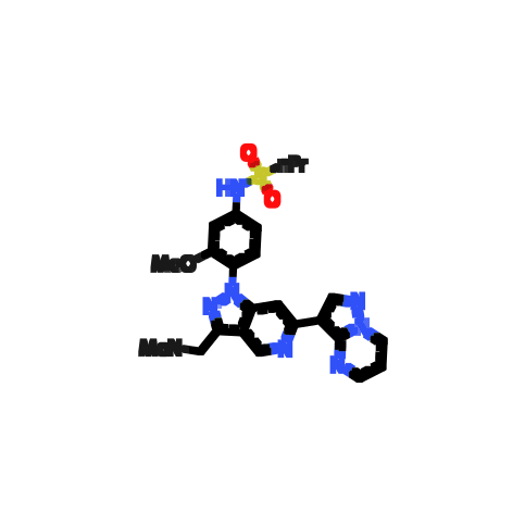 CCCS(=O)(=O)Nc1ccc(-n2nc(CNC)c3cnc(-c4cnn5cccnc45)cc32)c(OC)c1